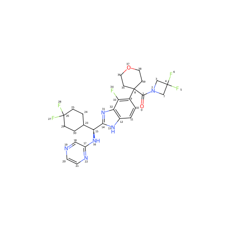 O=C(N1CC(F)(F)C1)C1(c2ccc3[nH]c([C@@H](Nc4cnccn4)C4CCC(F)(F)CC4)nc3c2F)CCOCC1